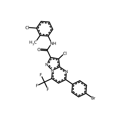 Cc1c(Cl)cccc1NC(=O)c1nn2c(C(F)(F)F)cc(-c3ccc(Br)cc3)nc2c1Cl